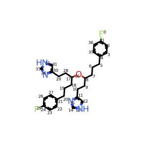 Fc1ccc(CCCC(CCc2c[nH]cn2)OC(CCCc2ccc(F)cc2)CCc2c[nH]cn2)cc1